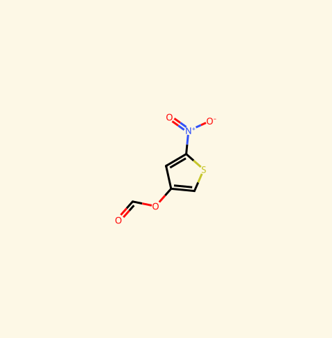 O=COc1csc([N+](=O)[O-])c1